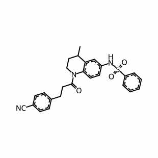 CC1CCN(C(=O)CCc2ccc(C#N)cc2)c2ccc(NS(=O)(=O)c3ccccc3)cc21